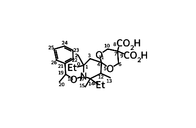 CCC1(C)CC2(OCC(C(=O)O)(C(=O)O)CO2)C(C)C(C)(CC)N1OC(C)c1ccccc1